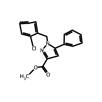 COC(=O)c1cc(-c2ccccc2)n(Cc2ccccc2Cl)n1